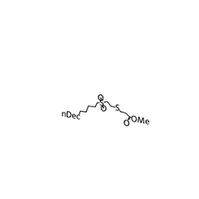 CCCCCCCCCCCCCCCS(=O)(=O)CCSCCC(=O)OC